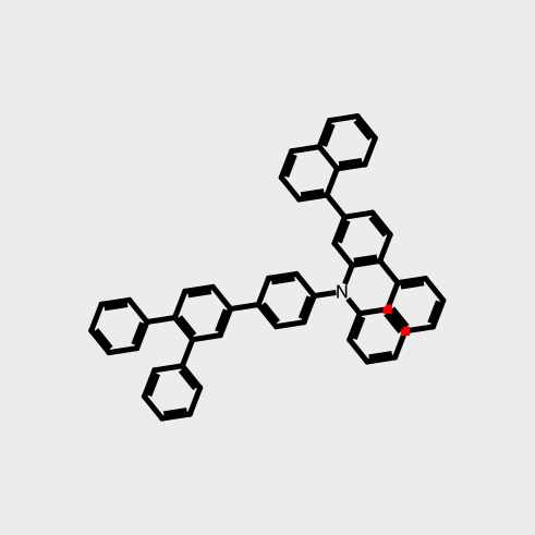 c1ccc(-c2ccc(-c3ccc(N(c4ccccc4)c4cc(-c5cccc6ccccc56)ccc4-c4ccccc4)cc3)cc2-c2ccccc2)cc1